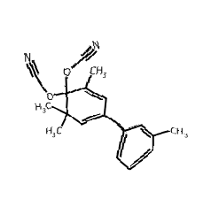 CC1=CC(c2cccc(C)c2)=CC(C)(C)C1(OC#N)OC#N